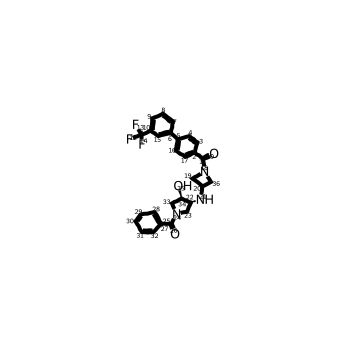 O=C(c1ccc(-c2cccc(C(F)(F)F)c2)cc1)N1CC(N[C@@H]2CN(C(=O)c3ccccc3)C[C@H]2O)C1